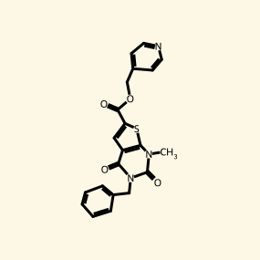 Cn1c(=O)n(Cc2ccccc2)c(=O)c2cc(C(=O)OCc3ccncc3)sc21